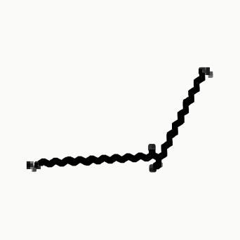 CCCCCC=CCC=CCC=CCCCC([C]=O)C(=O)CCCCCCCCCC=CCC=CCCCCC